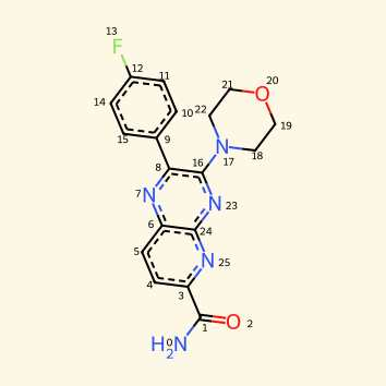 NC(=O)c1ccc2nc(-c3ccc(F)cc3)c(N3CCOCC3)nc2n1